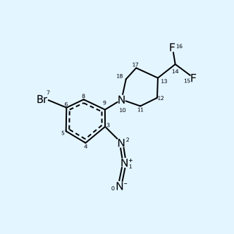 [N-]=[N+]=Nc1ccc(Br)cc1N1CCC(C(F)F)CC1